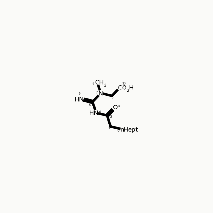 CCCCCCCCC(=O)NC(=N)N(C)CC(=O)O